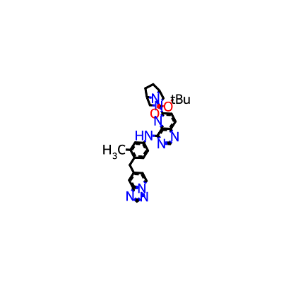 Cc1cc(Nc2ncnc3ccc(N4CC5CCC(C4)N5C(=O)OC(C)(C)C)nc23)ccc1Cc1ccn2ncnc2c1